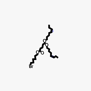 CC/C=C\CCCCOC(CCCC(=O)OCCCCCCBr)OCCCC/C=C\CC